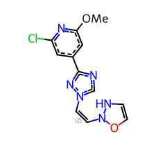 COc1cc(-c2ncn(/C=C\N3NC=CO3)n2)cc(Cl)n1